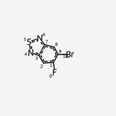 Fc1cc2nsnc2cc1Br